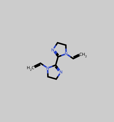 C=CN1CCN=C1C1=NCCN1C=C